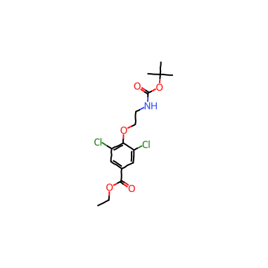 CCOC(=O)c1cc(Cl)c(OCCNC(=O)OC(C)(C)C)c(Cl)c1